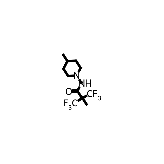 CC1CCN(NC(=O)C(C)(C(F)(F)F)C(F)(F)F)CC1